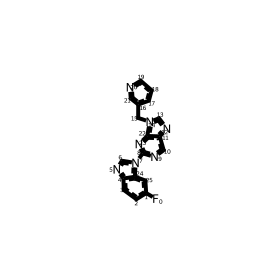 Fc1ccc2ncn(-c3ncc4ncn(Cc5cccnc5)c4n3)c2c1